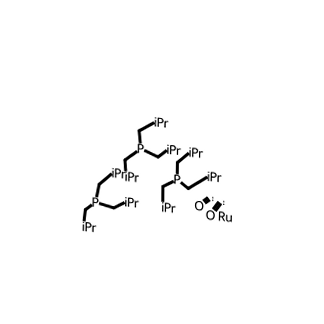 CC(C)CP(CC(C)C)CC(C)C.CC(C)CP(CC(C)C)CC(C)C.CC(C)CP(CC(C)C)CC(C)C.[C]=O.[C]=O.[Ru]